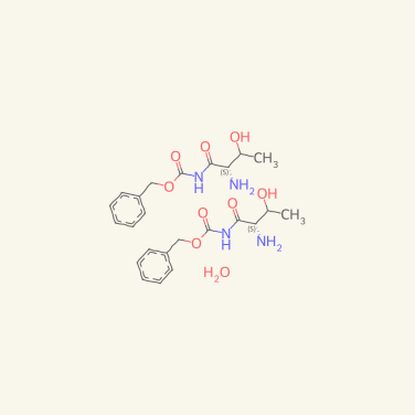 CC(O)[C@H](N)C(=O)NC(=O)OCc1ccccc1.CC(O)[C@H](N)C(=O)NC(=O)OCc1ccccc1.O